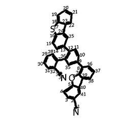 N#Cc1ccc2oc3c(-c4ccc(-c5ccc6sc7ccccc7c6c5)c(-c5ccccc5C#N)c4)cccc3c2c1